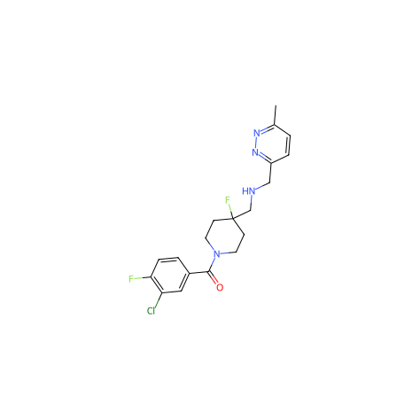 Cc1ccc(CNCC2(F)CCN(C(=O)c3ccc(F)c(Cl)c3)CC2)nn1